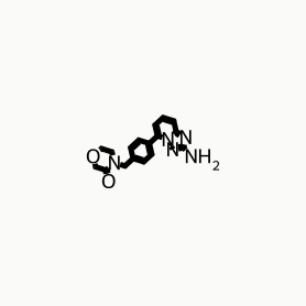 Nc1nc2cccc(-c3ccc(CN4CCOCC4=O)cc3)n2n1